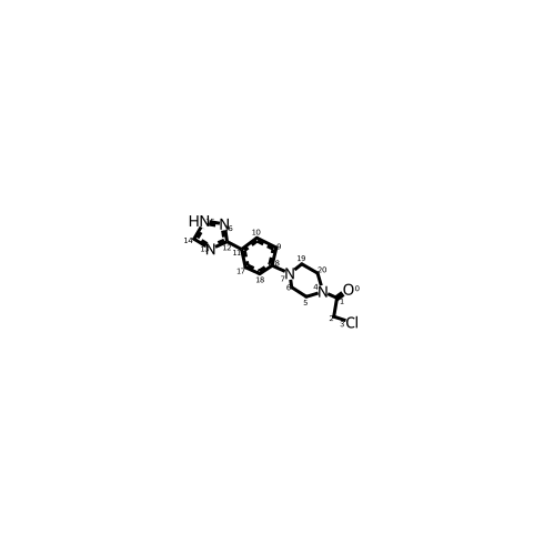 O=C(CCl)N1CCN(c2ccc(-c3nc[nH]n3)cc2)CC1